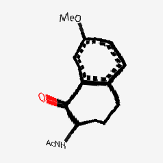 COc1ccc2c(c1)C(=O)C(NC(C)=O)CC2